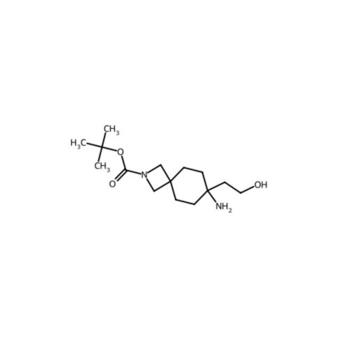 CC(C)(C)OC(=O)N1CC2(CCC(N)(CCO)CC2)C1